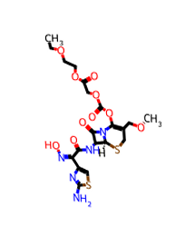 CCOCCOC(=O)COC(=O)OC1=C(COC)CS[C@H]2C(NC(=O)/C(=N\O)c3csc(N)n3)C(=O)N12